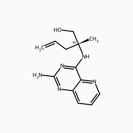 C=CC[C@](C)(CO)Nc1nc(N)nc2cccnc12